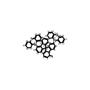 CC1C=CC=C2C1c1ccc(N3C4=C(C=CCC4)Sc4ccccc43)cc1C21c2ccccc2-c2c(N3C4=C(C=CCC4)Sc4ccccc43)cccc21